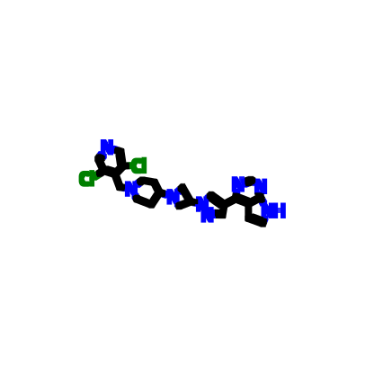 Clc1cncc(Cl)c1CN1CCC(N2C[C](n3cc(-c4ncnc5[nH]ccc45)cn3)C2)CC1